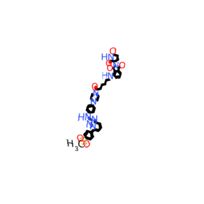 CS(=O)(=O)c1ccc(-c2cccc3nc(Nc4ccc(N5CCN(C(=O)CCCCCNc6cccc7c6C(=O)N(C6CCC(=O)NC6=O)C7=O)CC5)cc4)nn23)cc1